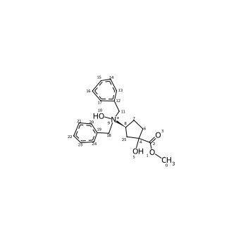 COC(=O)C1(O)CC[C@H]([N+](O)(Cc2ccccc2)Cc2ccccc2)C1